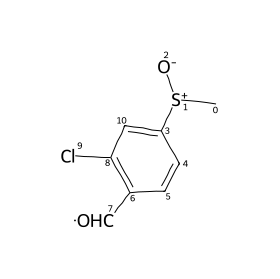 C[S+]([O-])c1ccc([C]=O)c(Cl)c1